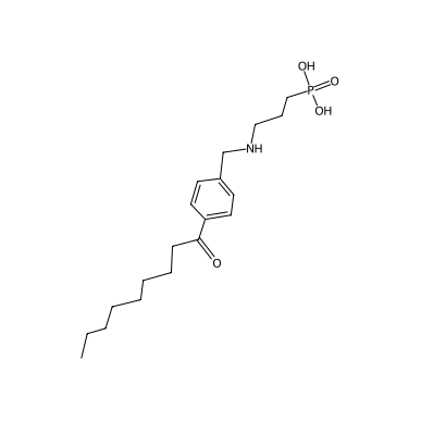 CCCCCCCCC(=O)c1ccc(CNCCCP(=O)(O)O)cc1